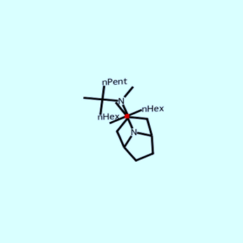 CCCCCCC(C)(C)N1C2CCC1CC(N(C)C(C)(CCCCC)CCCCCC)C2